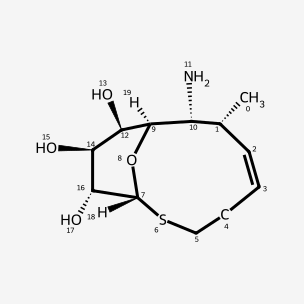 C[C@@H]1C=CCCS[C@H]2O[C@H]([C@@H]1N)[C@H](O)[C@H](O)[C@H]2O